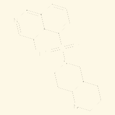 CC1C=NC=C2C=CC=C(S(=O)(=O)N3CCC4NCCCC4C3)C21